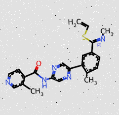 C=CS/C(=N\C)c1ccc(C)c(-c2cnc(NC(=O)c3ccncc3C)cn2)c1